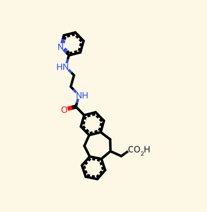 O=C(O)CC1Cc2ccc(C(=O)NCCNc3ccccn3)cc2Cc2ccccc21